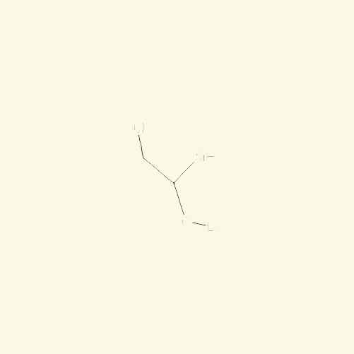 CCOC([SiH3])CCl